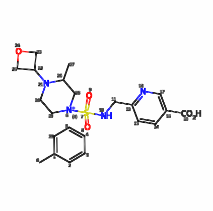 Cc1cccc([N@@+]2(S(=O)(=O)NCc3ccc(C(=O)O)cn3)CCN(C3COC3)C(C)C2)c1